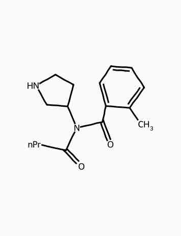 CCCC(=O)N(C(=O)c1ccccc1C)C1CCNC1